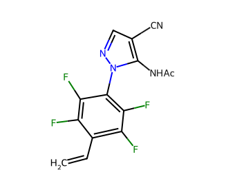 C=Cc1c(F)c(F)c(-n2ncc(C#N)c2NC(C)=O)c(F)c1F